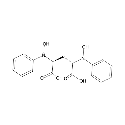 O=C(O)[C@H](C[C@@H](C(=O)O)N(O)c1ccccc1)N(O)c1ccccc1